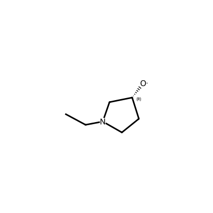 CCN1CC[C@@H]([O])C1